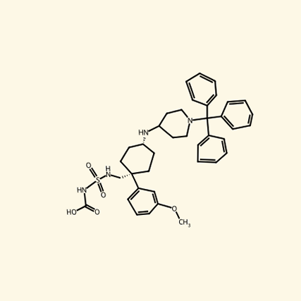 COc1cccc([C@]2(CNS(=O)(=O)NC(=O)O)CC[C@@H](NC3CCN(C(c4ccccc4)(c4ccccc4)c4ccccc4)CC3)CC2)c1